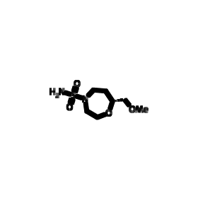 COC[C@H]1CCN(S(N)(=O)=O)CCO1